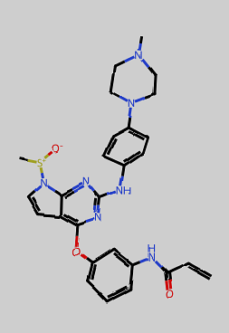 C=CC(=O)Nc1cccc(Oc2nc(Nc3ccc(N4CCN(C)CC4)cc3)nc3c2ccn3[S+](C)[O-])c1